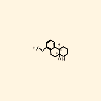 COc1cccc2c1CC[C@H]1NCCC[C@H]21